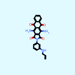 C=CCNc1cccc(-n2c(=O)c3c(N)c4c(=O)c5ccccc5c(=O)c4c(N)c3c2=O)c1